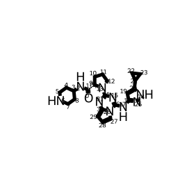 O=C(NC1CCNCC1)[C@@H]1CCCN1c1nc(Nc2cc(C3CC3)[nH]n2)n2cccc2n1